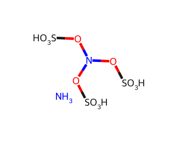 N.O=S(=O)(O)ON(OS(=O)(=O)O)OS(=O)(=O)O